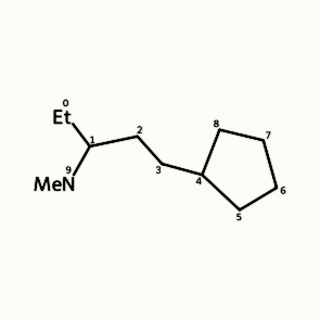 CCC(CCC1CCCC1)NC